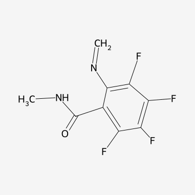 C=Nc1c(F)c(F)c(F)c(F)c1C(=O)NC